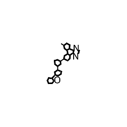 Cc1ccc2c(c1)c1cc(-c3cccc(-c4ccc5oc6ccccc6c5c4)c3)ccc1c1nccnc21